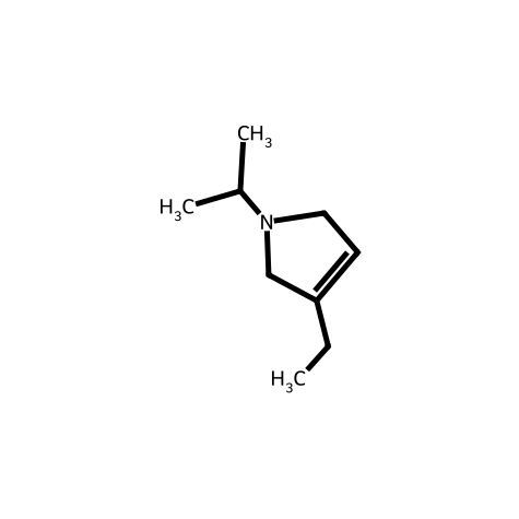 CCC1=CCN(C(C)C)C1